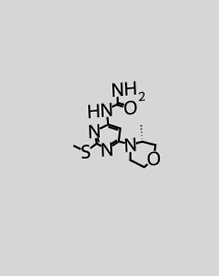 CSc1nc(NC(N)=O)cc(N2CCOC[C@H]2C)n1